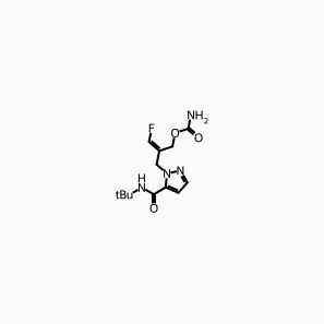 CC(C)(C)NC(=O)c1ccnn1CC(=CF)COC(N)=O